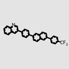 FC(F)(F)c1ccc(-c2ccc3cc(-c4ccc(-c5cnc6ccccc6c5)cc4)ccc3c2)cc1